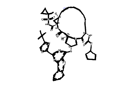 CC(C)(C)c1csc(-c2nc(O[C@@H]3C[C@H]4C(=O)N[C@]5(C(=O)NS(=O)(=O)C6(C)CC6)C[C@H]5/C=C\CCCCC[C@H](NC(=O)OC5CCCC5)C(=O)N4C3)c3oc4ccccc4c3n2)n1